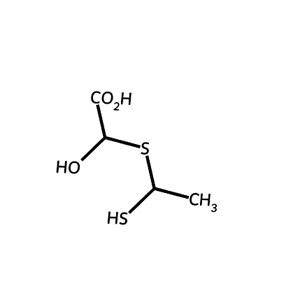 CC(S)SC(O)C(=O)O